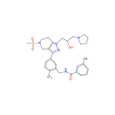 CS(=O)(=O)N1CCc2c(c(-c3ccc(C(F)(F)F)c(CNC(=O)c4cccc(C#N)c4)c3)nn2CC(O)CN2CCCC2)C1